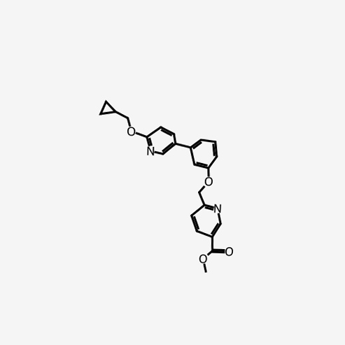 COC(=O)c1ccc(COc2cccc(-c3ccc(OCC4CC4)nc3)c2)nc1